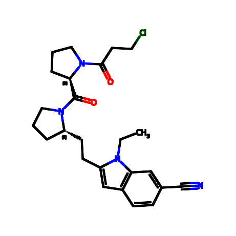 CCn1c(CC[C@@H]2CCCN2C(=O)[C@H]2CCCN2C(=O)CCCl)cc2ccc(C#N)cc21